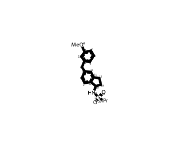 COc1cccc(Cc2ccc3c(c2)CCC3NS(=O)(=O)C(C)C)c1